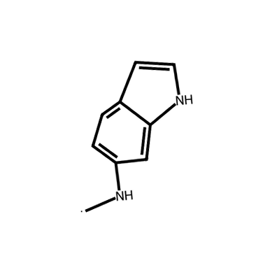 [CH2]Nc1ccc2cc[nH]c2c1